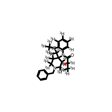 [2H]c1c([2H])c([2H])c(N(C(=O)C([2H])([2H])C([2H])([2H])[2H])C2(C([2H])([2H])OC([2H])([2H])[2H])C([2H])([2H])C([2H])([2H])N(Cc3ccccc3)C([2H])([2H])C2([2H])[2H])c([2H])c1[2H]